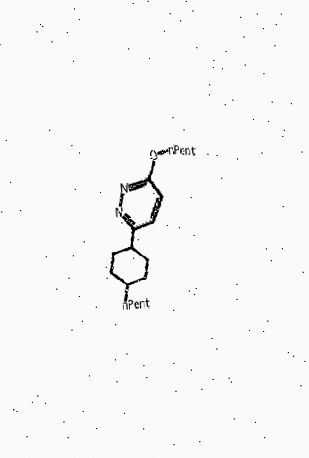 CCCCCOc1ccc(C2CCC(CCCCC)CC2)nn1